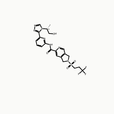 C[C@H](CO)n1cnnc1-c1cccc(NC(=O)c2cc3c(cn2)CN(S(=O)(=O)CCC(F)(F)F)C3)n1